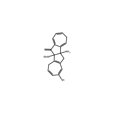 C=C1C2=CC=CCC=C2C2(N)CC3=C(CC=CC(C(C)C)=C3)C12NC